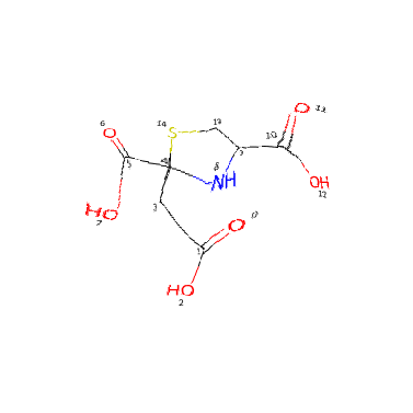 O=C(O)CC1(C(=O)O)NC(C(=O)O)CS1